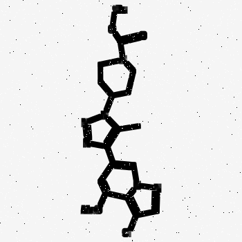 COc1cc(-c2nnn(C3CCN(C(=O)OC(C)(C)C)CC3)c2C)cn2ncc(Cl)c12